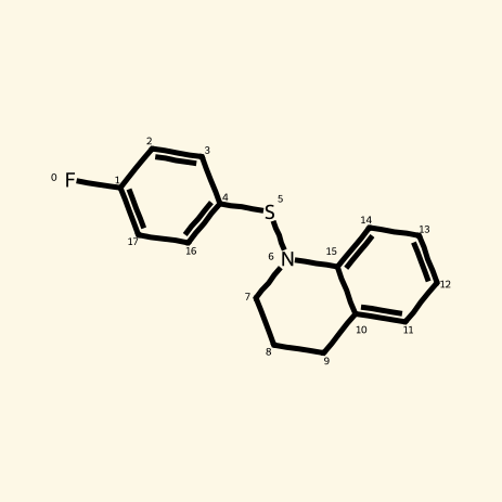 Fc1ccc(SN2CCCc3ccccc32)cc1